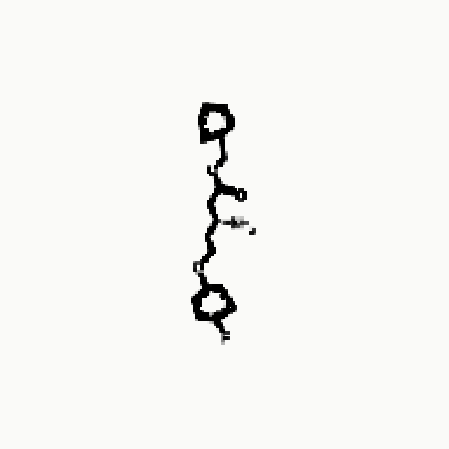 N[C@@H](CCOc1ccc(F)cc1)CC(=O)OCc1ccccc1